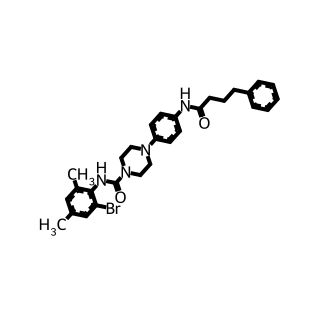 Cc1cc(C)c(NC(=O)N2CCN(c3ccc(NC(=O)CCCc4ccccc4)cc3)CC2)c(Br)c1